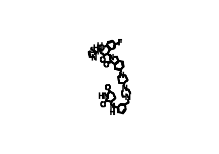 O=C1CCC(Nc2cccc(CN3CCN(C4CCN(c5ccc6c(c5)C(=O)N(C(C(=O)Nc5nccs5)c5cc(F)ccc5O)C6)CC4)CC3)c2)C(=O)N1